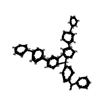 CN(c1ccccc1)c1ccc(C2c3ccc(-c4ccc(-c5ccccc5)cc4)cc3-c3cc(-c4ccc(-c5ccccc5)cc4)ccc32)cc1